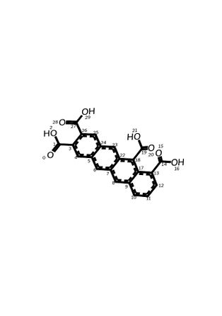 O=C(O)c1cc2cc3cc4cccc(C(=O)O)c4c(C(=O)O)c3cc2cc1C(=O)O